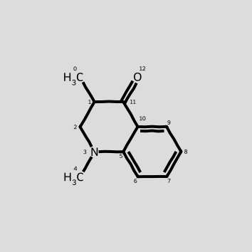 CC1CN(C)c2ccccc2C1=O